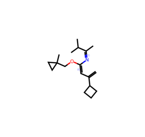 C=C(/C=C(\N=C(\C)C(C)C)OCC1(C)CC1)C1CCC1